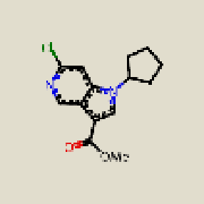 COC(=O)c1cn(C2CCCC2)c2cc(Cl)ncc12